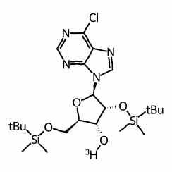 [3H]O[C@H]1[C@@H](O[Si](C)(C)C(C)(C)C)[C@H](n2cnc3c(Cl)ncnc32)O[C@@H]1CO[Si](C)(C)C(C)(C)C